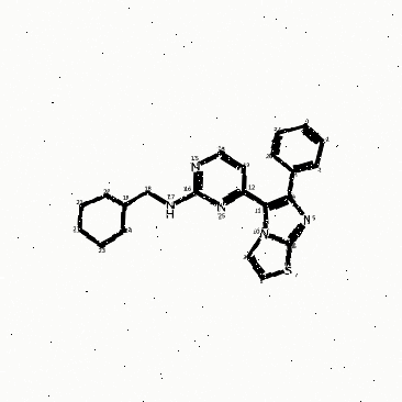 c1ccc(-c2nc3sccn3c2-c2ccnc(NCC3CCCCC3)n2)cc1